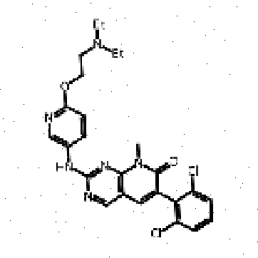 CCN(CC)CCOc1ccc(Nc2ncc3cc(-c4c(Cl)cccc4Cl)c(=O)n(C)c3n2)cn1